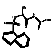 CC[C@H](C)[C@H](NS(=O)(=O)c1cccc2ccccc12)C(=O)N[C@@H](C)C=O